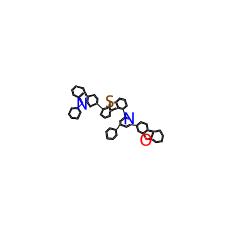 c1ccc(-c2cc(-c3ccc4c(c3)oc3ccccc34)nc(-c3cccc4sc5c(-c6ccc7c8ccccc8n(-c8ccccc8)c7c6)cccc5c34)c2)cc1